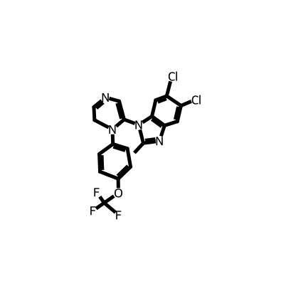 Cc1nc2cc(Cl)c(Cl)cc2n1C1=CN=CCN1c1ccc(OC(F)(F)F)cc1